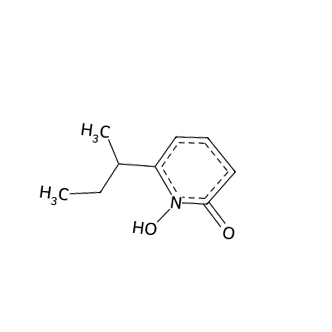 CCC(C)c1cccc(=O)n1O